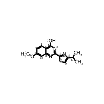 COc1ccc2c(O)nc(-c3nc(C(C)C)cs3)nc2c1